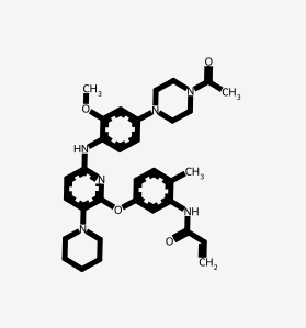 C=CC(=O)Nc1cc(Oc2nc(Nc3ccc(N4CCN(C(C)=O)CC4)cc3OC)ccc2N2CCCCC2)ccc1C